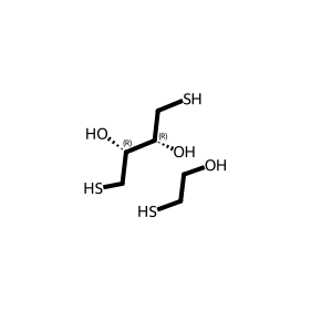 OCCS.O[C@@H](CS)[C@@H](O)CS